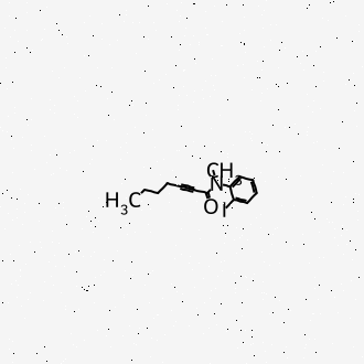 CCCCC#CC(=O)N(C)c1ccccc1I